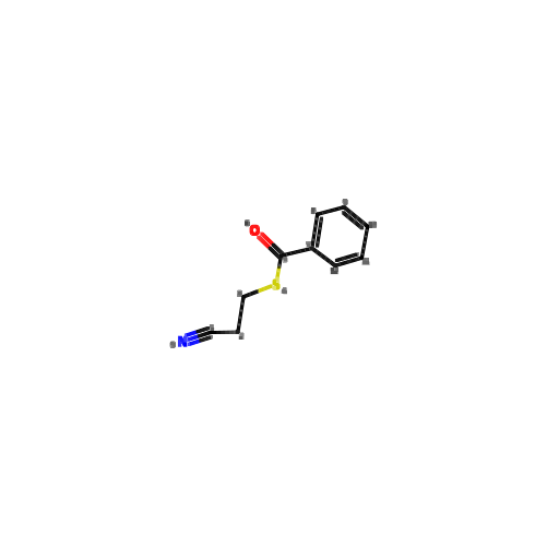 N#CCCSC(=O)c1ccccc1